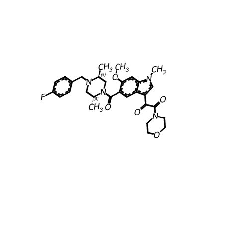 COc1cc2c(cc1C(=O)N1C[C@H](C)N(Cc3ccc(F)cc3)C[C@H]1C)c(C(=O)C(=O)N1CCOCC1)cn2C